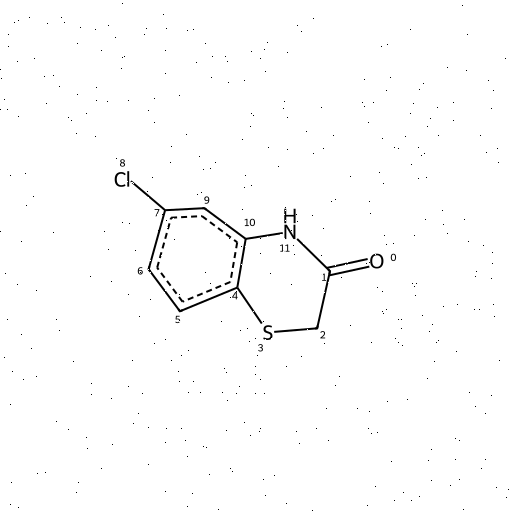 O=C1CSc2ccc(Cl)cc2N1